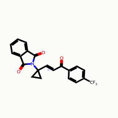 O=C(/C=C/C1(N2C(=O)c3ccccc3C2=O)CC1)c1ccc(C(F)(F)F)cc1